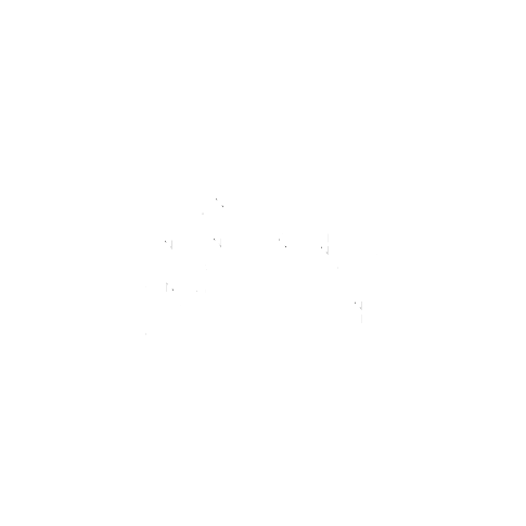 O=S1(=O)CCCCN1c1cn2c(-c3cccc(NC4CNCCC4F)n3)cnc2cn1